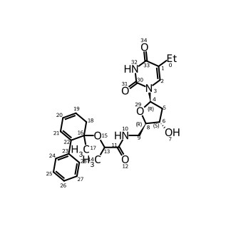 CCc1cn([C@H]2C[C@H](O)[C@@H](CNC(=O)C(C)OC3(C)CC=CC=C3c3ccccc3)O2)c(=O)[nH]c1=O